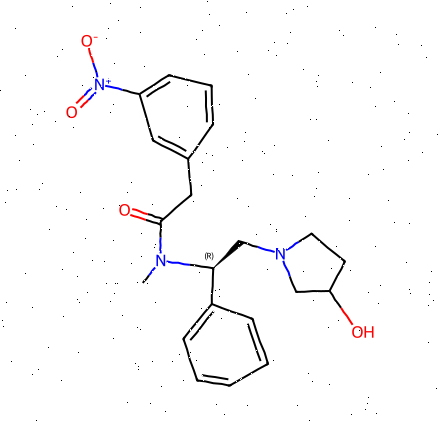 CN(C(=O)Cc1cccc([N+](=O)[O-])c1)[C@@H](CN1CCC(O)C1)c1ccccc1